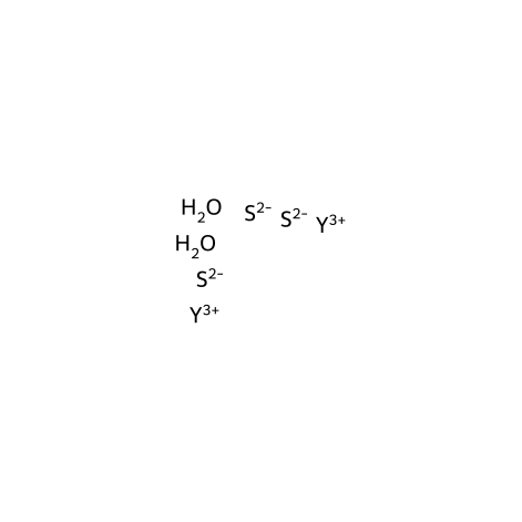 O.O.[S-2].[S-2].[S-2].[Y+3].[Y+3]